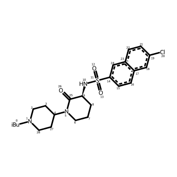 CCC(C)N1CCC(N2CCC[C@H](NS(=O)(=O)c3ccc4cc(Cl)ccc4c3)C2=O)CC1